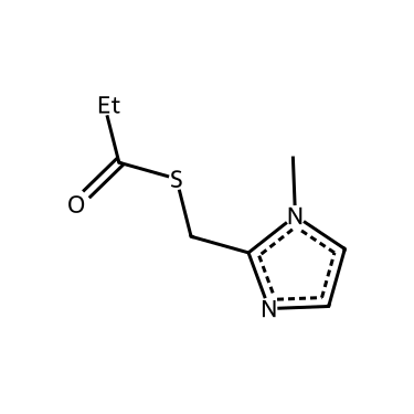 CCC(=O)SCc1nccn1C